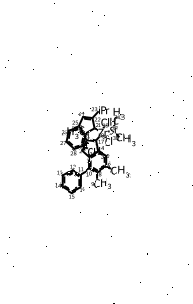 CC1=Cc2c(cc(C)c(C)c2-c2ccccc2)[CH]1[Zr]([Cl])([Cl])([CH]1C(C(C)C)=Cc2cccc(C)c21)[SiH](C)C